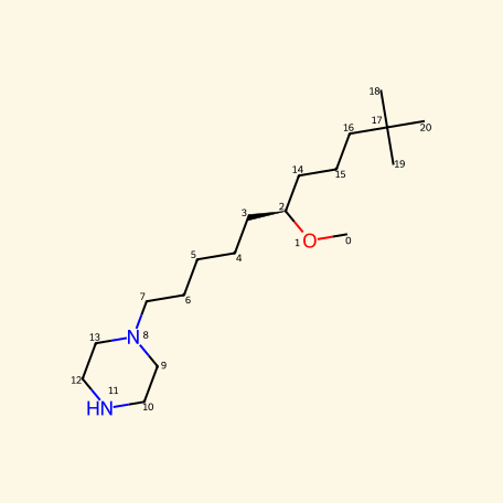 CO[C@@H](CCCCCN1CCNCC1)CCCC(C)(C)C